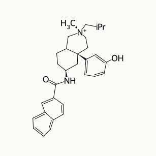 CC(C)C[N@+]1(C)CC[C@]2(c3cccc(O)c3)C[C@@H](NC(=O)c3ccc4ccccc4c3)CCC2C1